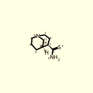 NC(=S)[C@@H]1CCN2CCC[C@H]1C2